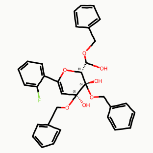 OC(OCc1ccccc1)[C@H]1OC(c2ccccc2F)=C[C@](O)(OCc2ccccc2)[C@@]1(O)OCc1ccccc1